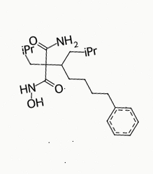 CC(C)CC(CCCCc1ccccc1)C(CC(C)C)(C(N)=O)C(=O)NO